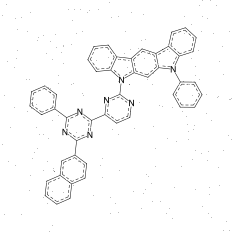 c1ccc(-c2nc(-c3ccc4ccccc4c3)nc(-c3ccnc(-n4c5ccccc5c5cc6c7ccccc7n(-c7ccccc7)c6cc54)n3)n2)cc1